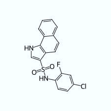 O=S(=O)(Nc1ccc(Cl)cc1F)c1c[nH]c2c1ccc1ccccc12